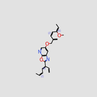 C=C/C(=C\C=C/C)c1nc2cc(OCC(=C)/C=C\C(=C/C)OC)cnc2o1